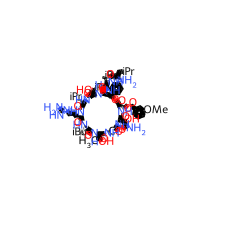 CC[C@H](C)[C@@H]1NC(=O)[C@@H](CCCNC(=N)N)NC(=O)[C@H](CC(C)C)NC(=O)[C@H]([C@H](O)C(C)C)NC(=O)[C@@H](NC(=O)[C@H](CC(C)C)NC(=O)[C@H](N)CC(C)C)[C@@H](c2ccccc2)OC(=O)[C@H](COC(=O)c2cccc(OC)c2)NC(=O)[C@H]([C@H](O)C(N)=O)NC(=O)CNC(=O)[C@H]([C@H](C)O)NC1=O